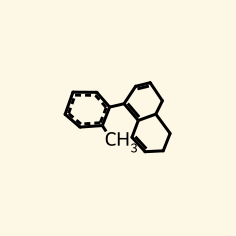 Cc1ccccc1C1=C2C=CCCC2CC=C1